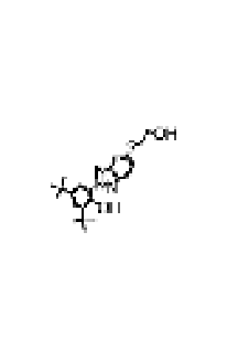 CC(C)(C)c1cc(-n2nc3ccc(SCCO)cc3n2)c(O)c(C(C)(C)C)c1